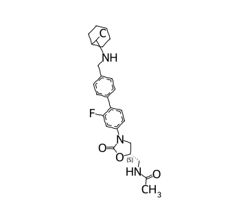 CC(=O)NC[C@H]1CN(c2ccc(-c3ccc(CNC4CC5CCC4CC5)cc3)c(F)c2)C(=O)O1